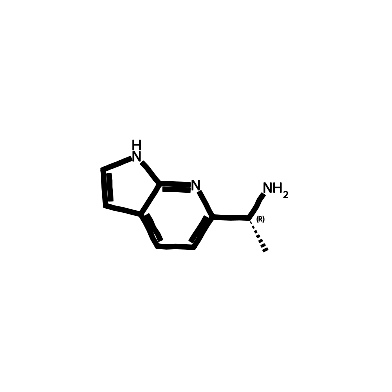 C[C@@H](N)c1ccc2cc[nH]c2n1